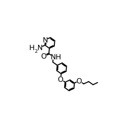 CCCCOc1cccc(Oc2cccc(CNC(=O)c3cccnc3N)c2)c1